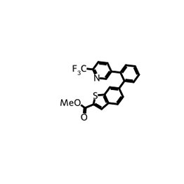 COC(=O)c1cc2ccc(-c3ccccc3-c3ccc(C(F)(F)F)nc3)cc2s1